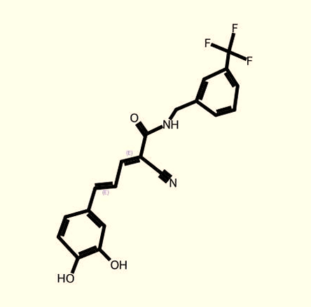 N#C/C(=C\C=C\c1ccc(O)c(O)c1)C(=O)NCc1cccc(C(F)(F)F)c1